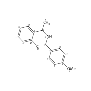 COc1ccc(CNC(C)c2ccccc2Cl)cc1